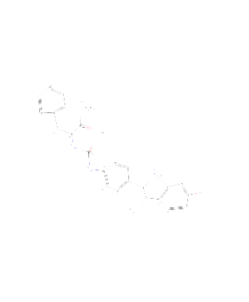 CCOc1ccc2c(c1)N(CC)C(c1ccc(NC(=O)NC(Cc3ccccc3)C(=O)OC)cc1)C2C#N